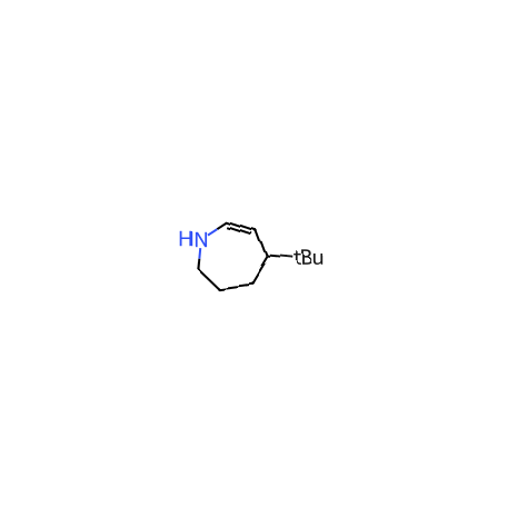 CC(C)(C)C1C=CNCCC1